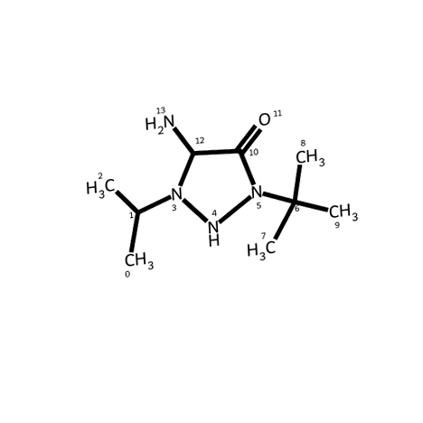 CC(C)N1NN(C(C)(C)C)C(=O)C1N